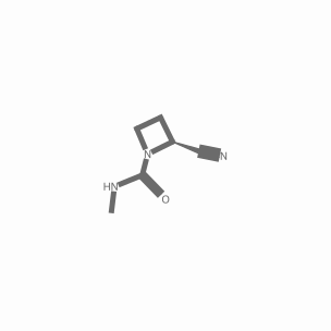 CNC(=O)N1CC[C@H]1C#N